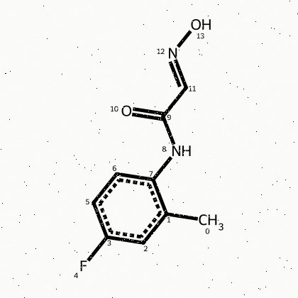 Cc1cc(F)ccc1NC(=O)C=NO